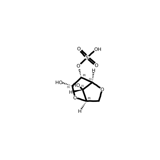 O=S(=O)(O)O[C@@H]1[C@H]2OC[C@@H](O[C@@H]1O)[C@@H]2O